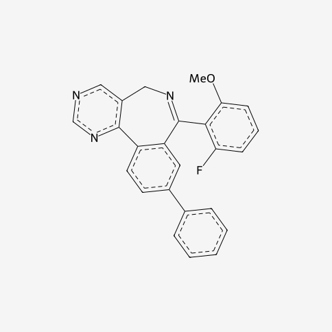 COc1cccc(F)c1C1=NCc2cncnc2-c2ccc(-c3ccccc3)cc21